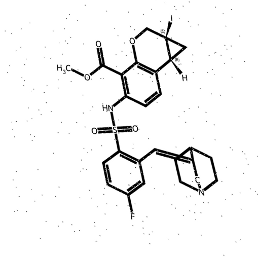 COC(=O)c1c(NS(=O)(=O)c2ccc(F)cc2C=C2CN3CCC2CC3)ccc2c1OC[C@]1(I)C[C@H]21